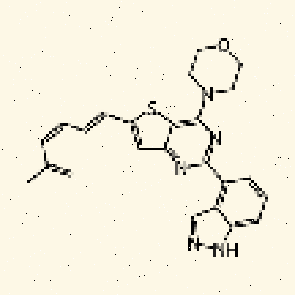 C=C(C)/C=C\C=C\c1cc2nc(-c3cccc4[nH]ncc34)nc(N3CCOCC3)c2s1